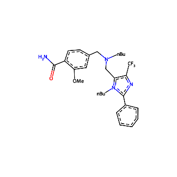 CCCCN(Cc1ccc(C(N)=O)c(OC)c1)Cc1c(C(F)(F)F)nc(-c2ccccc2)n1CCCC